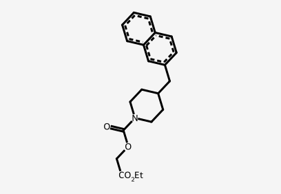 CCOC(=O)COC(=O)N1CCC(Cc2ccc3ccccc3c2)CC1